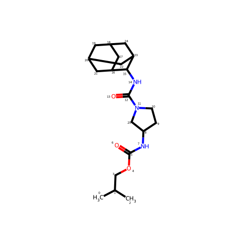 CC(C)COC(=O)NC1CCN(C(=O)NC2C3CC4CC(C3)CC2C4)C1